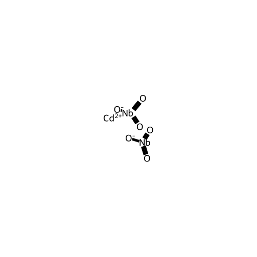 [Cd+2].[O]=[Nb](=[O])[O-].[O]=[Nb](=[O])[O-]